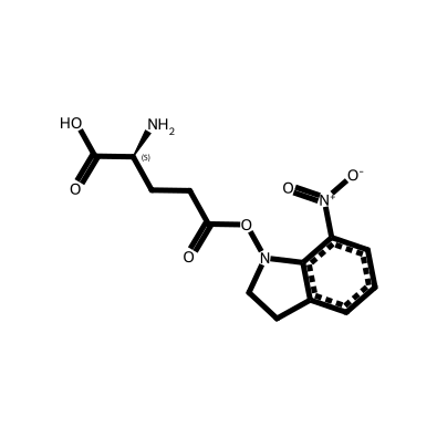 N[C@@H](CCC(=O)ON1CCc2cccc([N+](=O)[O-])c21)C(=O)O